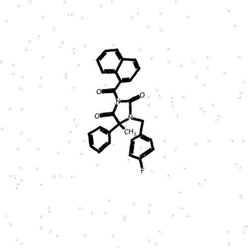 CC1(c2ccccc2)C(=O)N(C(=O)c2cccc3ccccc23)C(=O)N1Cc1ccc(F)cc1